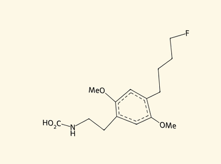 COc1cc(CCNC(=O)O)c(OC)cc1CCCCF